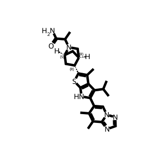 Cc1c(-c2[nH]c3sc([C@@H]4C[C@@H]5C[C@H]4CN5C(C)C(N)=O)c(C)c3c2C(C)C)cn2ncnc2c1C